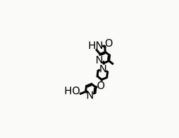 Cc1cc2c(nc1N1CCC(Oc3ccc(CO)nc3)CC1)CNC2=O